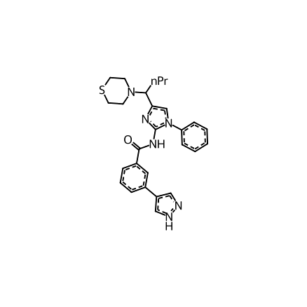 CCCC(c1cn(-c2ccccc2)c(NC(=O)c2cccc(-c3cn[nH]c3)c2)n1)N1CCSCC1